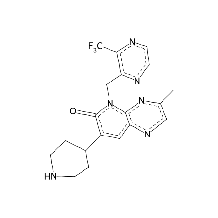 Cc1cnc2cc(C3CCNCC3)c(=O)n(Cc3nccnc3C(F)(F)F)c2n1